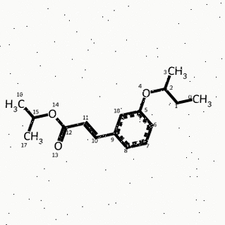 CCC(C)Oc1cccc(/C=C/C(=O)OC(C)C)c1